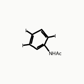 CC(=O)Nc1cc(I)c(I)cc1I